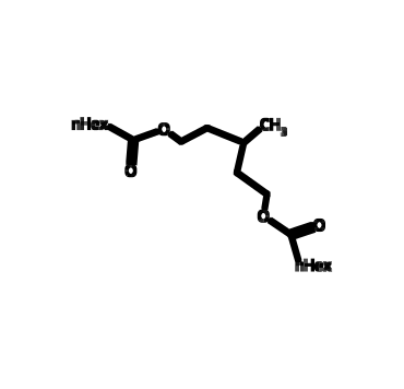 CCCCCCC(=O)OCCC(C)CCOC(=O)CCCCCC